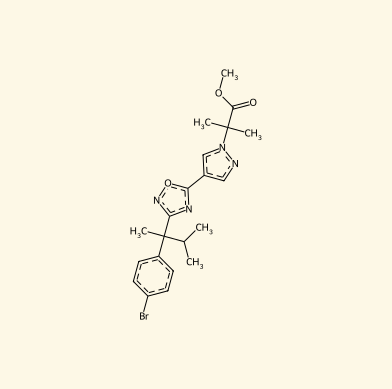 COC(=O)C(C)(C)n1cc(-c2nc(C(C)(c3ccc(Br)cc3)C(C)C)no2)cn1